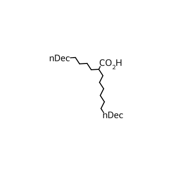 CCCCCCCCCCCCCCCCC(CCCCCCCCCCCCCC)C(=O)O